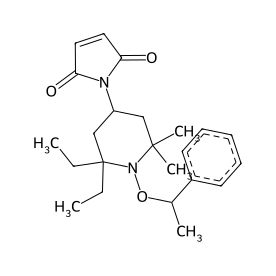 CCC1(CC)CC(N2C(=O)C=CC2=O)CC(C)(C)N1OC(C)c1ccccc1